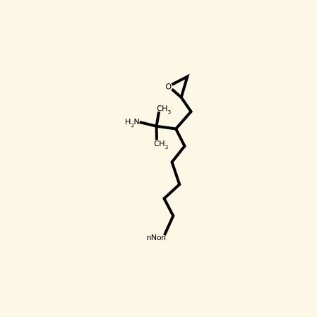 CCCCCCCCCCCCCCC(CC1CO1)C(C)(C)N